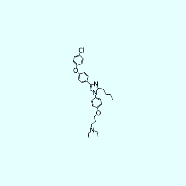 CCCCc1nc(-c2ccc(Oc3ccc(Cl)cc3)cc2)cn1-c1ccc(OCCCN(CC)CC)cc1